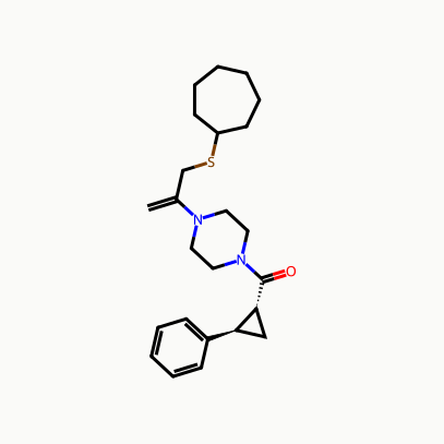 C=C(CSC1CCCCCC1)N1CCN(C(=O)[C@@H]2C[C@H]2c2ccccc2)CC1